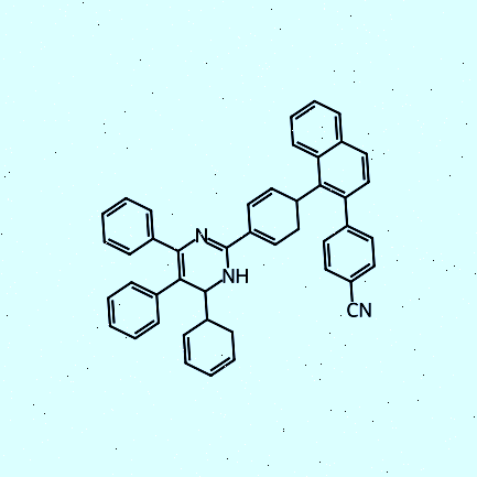 N#Cc1ccc(-c2ccc3ccccc3c2C2C=CC(C3=NC(c4ccccc4)=C(c4ccccc4)C(C4C=CC=CC4)N3)=CC2)cc1